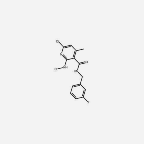 CCNc1nc(Cl)cc(C)c1C(=O)NCc1cccc(F)c1